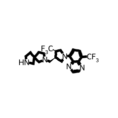 FC(F)(F)c1ccc(N2C[C@@H](CN3CCC4(CCNC4)C3)[C@H](C(F)(F)F)C2)c2nccnc12